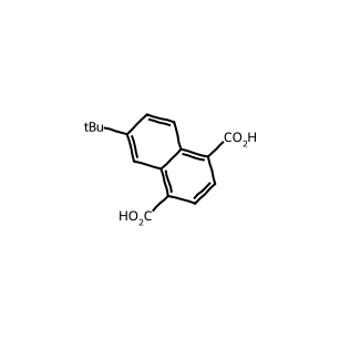 CC(C)(C)c1ccc2c(C(=O)O)ccc(C(=O)O)c2c1